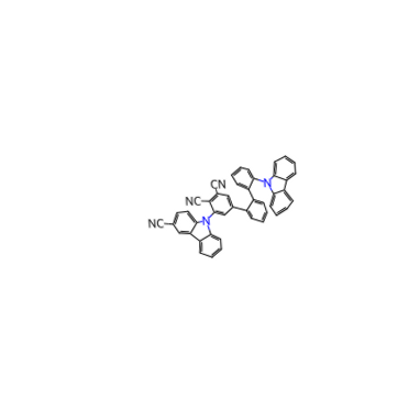 N#Cc1ccc2c(c1)c1ccccc1n2-c1cc(-c2ccccc2-c2ccccc2-n2c3ccccc3c3ccccc32)cc(C#N)c1C#N